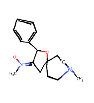 CN1CCC2(CC1)C/C(=[N+](\C)[O-])C(c1ccccc1)O2